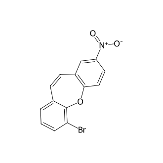 O=[N+]([O-])c1ccc2c(c1)C=Cc1cccc(Br)c1O2